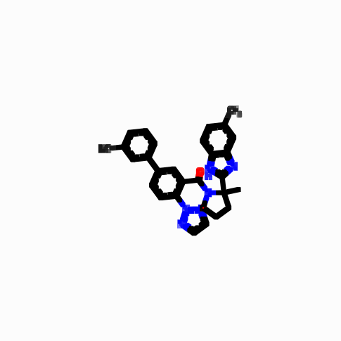 CC1(c2nc3cc(C(F)(F)F)ccc3[nH]2)CCCN1C(=O)c1cc(-c2cccc(C#N)c2)ccc1-n1nccn1